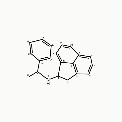 CC(NC1Cc2cccc3cccc1c23)c1ccccc1